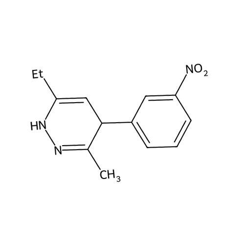 CCC1=CC(c2cccc([N+](=O)[O-])c2)C(C)=NN1